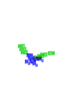 Cl.Cl.Cl.Cl.Cl.Cl.Cl.N.N.N.N.N